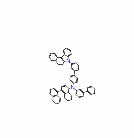 C1=Cc2c(cccc2-c2ccc(N(c3ccc(-c4cccc(-n5c6ccccc6c6c7ccccc7ccc65)c4)cc3)c3cccc(-c4ccccc4)c3)c3c2CCC=C3)CC1